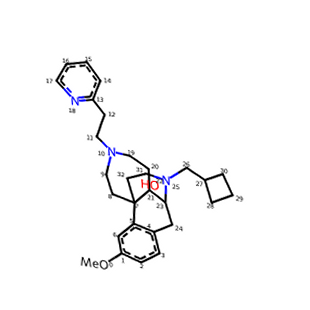 COc1ccc2c(c1)C13CCN(CCc4ccccn4)CCC1(O)C(C2)N(CC1CCC1)CC3